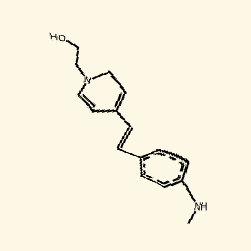 CNc1ccc(/C=C/C2=CCN(CCO)C=C2)cc1